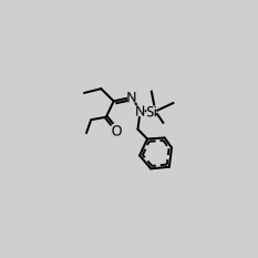 CCC(=O)C(CC)=NN(Cc1ccccc1)[Si](C)(C)C